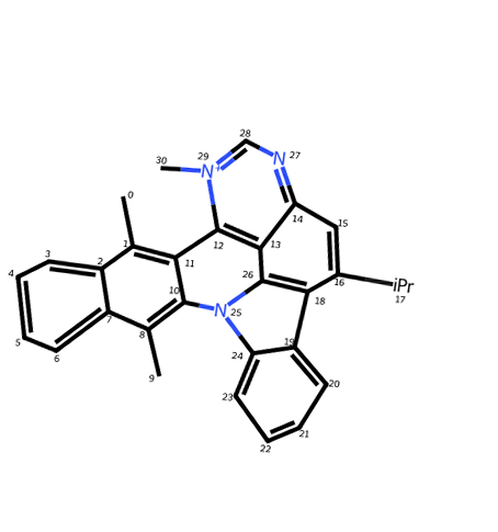 Cc1c2ccccc2c(C)c2c1c1c3c(cc(C(C)C)c4c5ccccc5n2c43)nc[n+]1C